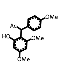 COc1ccc(C(C(C)=O)c2c(O)cc(OC)cc2OC)cc1